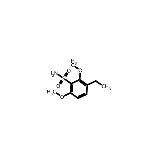 CCc1ccc(OC)c(S(N)(=O)=O)c1OC